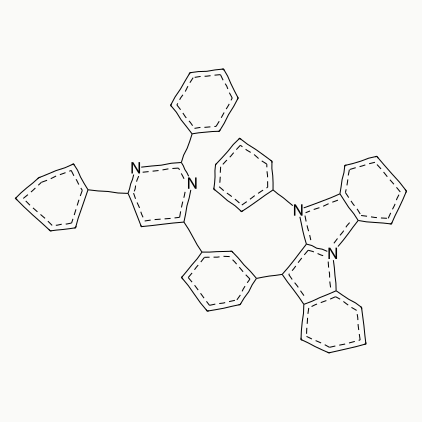 c1ccc(-c2cc(-c3cccc(-c4c5ccccc5n5c6ccccc6n(-c6ccccc6)c45)c3)nc(-c3ccccc3)n2)cc1